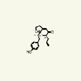 C=CC[C@H]1C[C@]2([C@@H](C)Cc3ccc(O)cc3)OCCC2=CC1=O